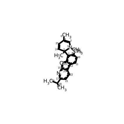 CC1=CN(C)C(C)(c2c(C)ccc3c2oc2nc(C(C)C)ccc23)C=C1